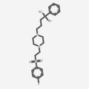 CC(C)C(C#N)(CCCN1CCN(CCS(=O)(=O)c2ccc(F)cc2)CC1)c1ccccc1